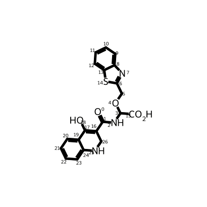 O=C(NC(OCc1nc2ccccc2s1)C(=O)O)C1=C(O)c2ccccc2NC1